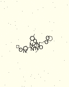 CCn1c(=O)n(CCCOC2CCCCO2)c(=O)c2c1nc(-c1ccc(OC3CCC3)nc1)n2Cc1ccc(C)cc1